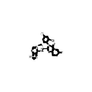 CC[C@@H](Nc1ncnc2[nH]cnc12)c1nc2ccc(F)cc2c(=O)n1-c1ccc(Cl)cc1Cl